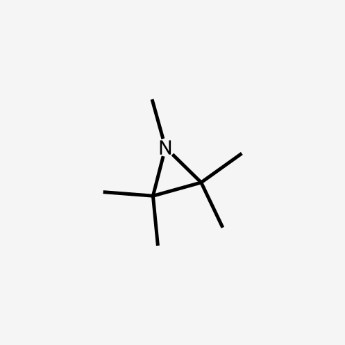 CN1C(C)(C)C1(C)C